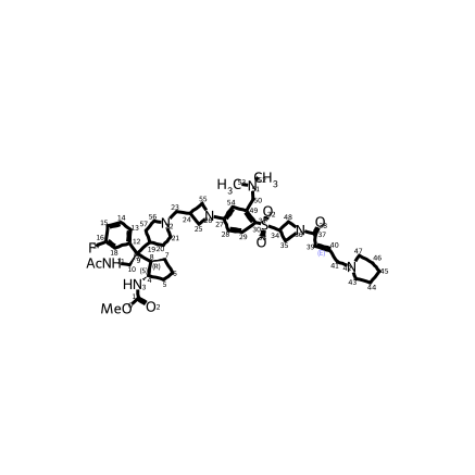 COC(=O)N[C@H]1CCC[C@@H]1[C@](CNC(C)=O)(c1cccc(F)c1)C1CCN(CC2CN(c3ccc(S(=O)(=O)C4CN(C(=O)/C=C/CN5CCCCC5)C4)c(CN(C)C)c3)C2)CC1